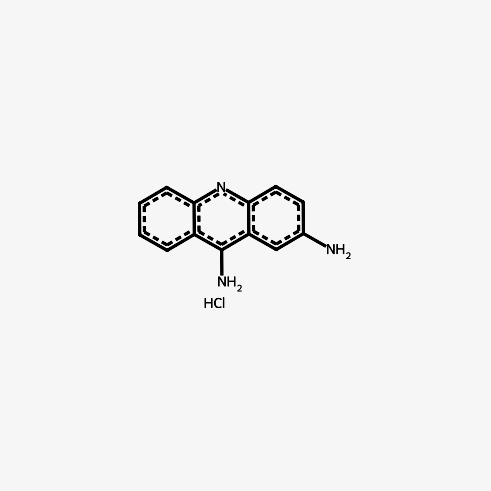 Cl.Nc1ccc2nc3ccccc3c(N)c2c1